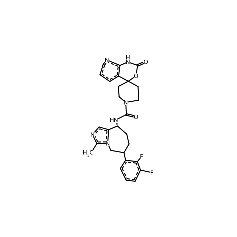 Cc1ncc2n1CC(c1cccc(F)c1F)CC[C@H]2NC(=O)N1CCC2(CC1)OC(=O)Nc1ncccc12